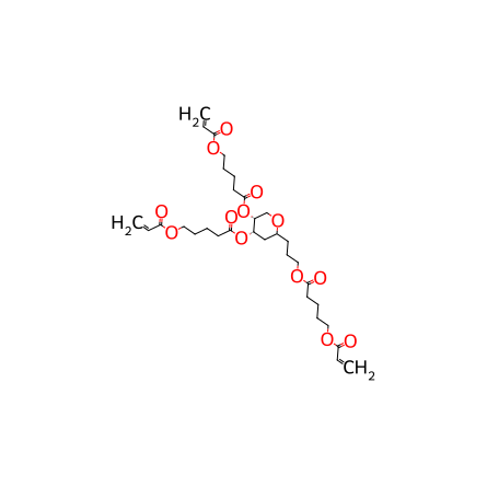 C=CC(=O)OCCCCC(=O)OCCCC1C[C@H](OC(=O)CCCCOC(=O)C=C)[C@H](OC(=O)CCCCOC(=O)C=C)CO1